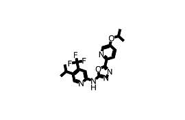 CC(C)Oc1ccc(-c2nnc(Nc3cc(C(F)(F)F)c(C(C)C)cn3)o2)nc1